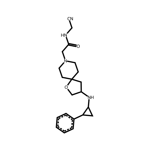 N#CCNC(=O)CN1CCC2(CC1)CC(NC1CC1c1ccccc1)CO2